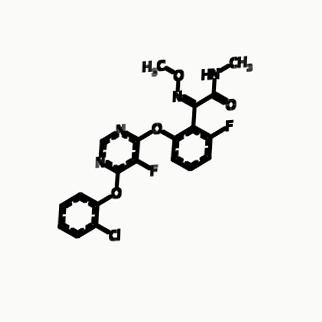 CNC(=O)C(=NOC)c1c(F)cccc1Oc1ncnc(Oc2ccccc2Cl)c1F